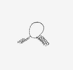 O.O.O.O.O.O.O.O.O.O.O=C1CCCCCCCCCCCCCCC1